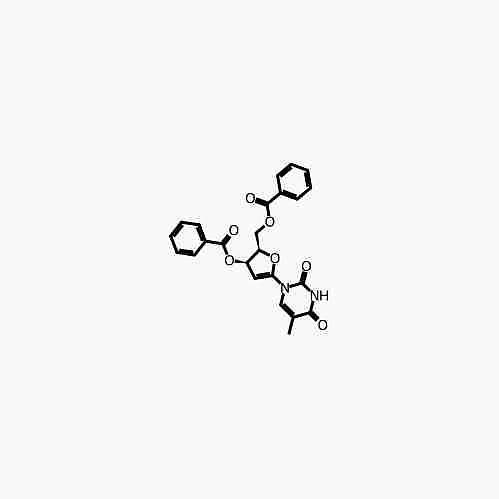 Cc1cn(C2=C[C@@H](OC(=O)c3ccccc3)[C@@H](COC(=O)c3ccccc3)O2)c(=O)[nH]c1=O